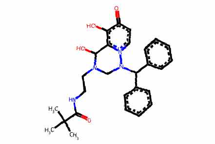 CC(C)(C)C(=O)NCCN1CN(C(c2ccccc2)c2ccccc2)n2ccc(=O)c(O)c2C1O